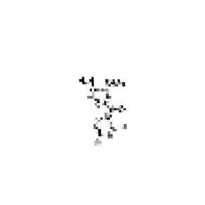 COc1cc(C(=O)N2CCN(C)C[C@@H]2C)ccc1N